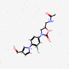 CC(=O)NCC1CN(c2ccc(-n3ccc(C=O)c3)c(F)c2)C(=O)O1